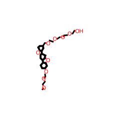 COCCOCCOc1ccc2c(c1)oc1cc3c(cc12)oc1ccc(COCCOCCOCCOCCO)cc13